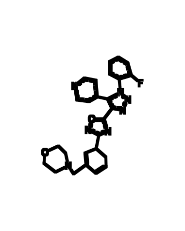 Fc1ccccc1-n1nnc(-c2nc(C3C=C(CN4CCOCC4)C=CC3)no2)c1-c1ccncc1